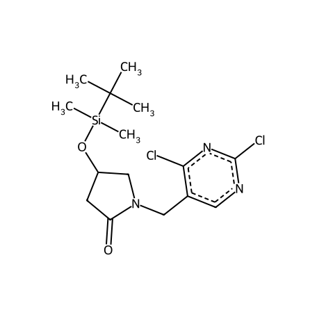 CC(C)(C)[Si](C)(C)OC1CC(=O)N(Cc2cnc(Cl)nc2Cl)C1